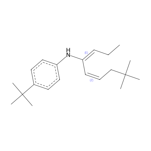 CC/C=C(\C=C/CC(C)(C)C)Nc1ccc(C(C)(C)C)cc1